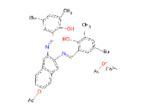 CC(=O)[O-].CC(=O)[O-].CCC(C)c1cc(C)c(O)c(C=Nc2cc3ccccc3cc2N=Cc2cc(C(C)CC)cc(C)c2O)c1.[Co+2]